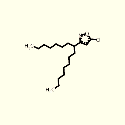 CCCCCCCCC(CCCCCCC)c1cc(Cl)on1